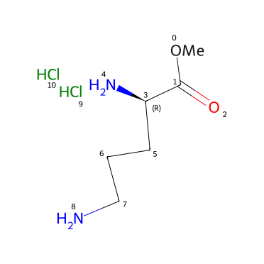 COC(=O)[C@H](N)CCCN.Cl.Cl